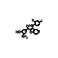 N[C@@H]1CN(C(=O)c2oc3ccncc3c2Nc2ccc(I)cc2F)C[C@H]1O